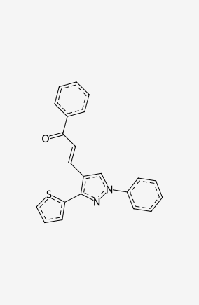 O=C(C=Cc1cn(-c2ccccc2)nc1-c1cccs1)c1ccccc1